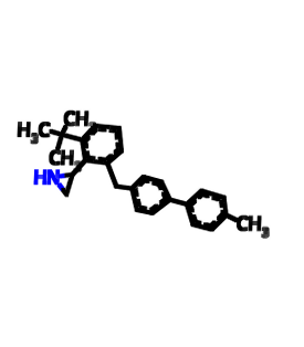 Cc1ccc(-c2ccc(Cc3cccc(C(C)(C)C)c3C3CN3)cc2)cc1